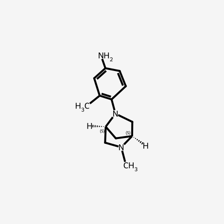 Cc1cc(N)ccc1N1C[C@@H]2C[C@H]1CN2C